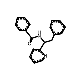 O=C(NC(Cc1ccccc1)c1ccccn1)c1ccccc1